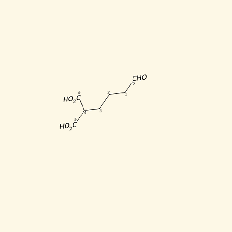 O=CCCCC(C(=O)O)C(=O)O